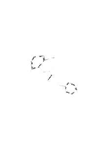 CCc1cccc(C)c1NC(C)C(=O)OCc1ccccc1